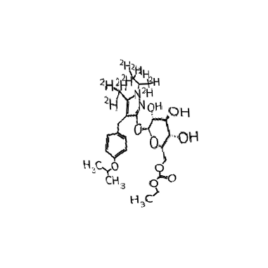 [2H]C([2H])([2H])c1c(Cc2ccc(OC(C)C)cc2)c(O[C@@H]2O[C@H](COC(=O)OCC)[C@@H](O)[C@H](O)[C@H]2O)nn1C(C([2H])([2H])[2H])C([2H])([2H])[2H]